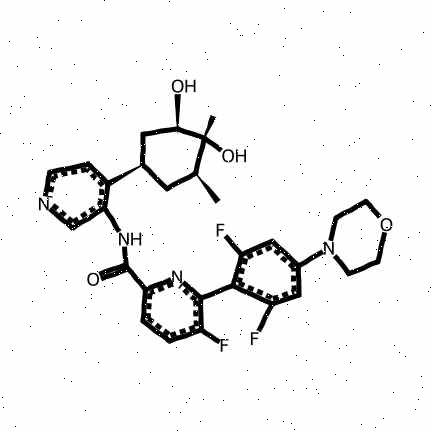 C[C@H]1C[C@@H](c2ccncc2NC(=O)c2ccc(F)c(-c3c(F)cc(N4CCOCC4)cc3F)n2)C[C@@H](O)[C@]1(C)O